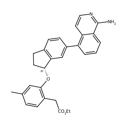 CCOC(=O)Cc1ccc(C)cc1O[C@@H]1CCc2ccc(-c3cccc4c(N)nccc34)cc21